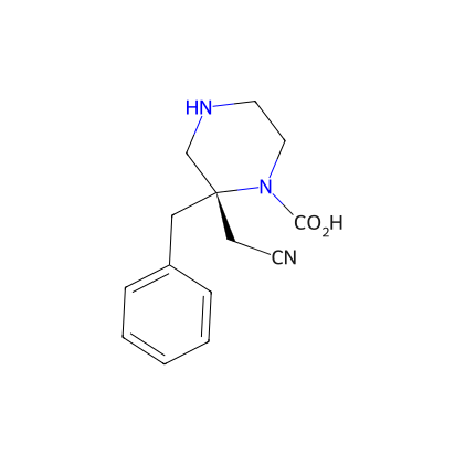 N#CC[C@@]1(Cc2ccccc2)CNCCN1C(=O)O